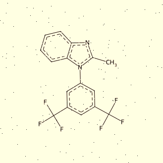 Cc1nc2ccccc2n1-c1cc(C(F)(F)F)cc(C(F)(F)F)c1